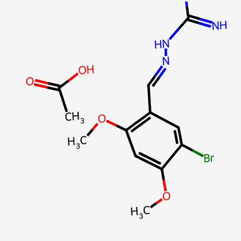 CC(=O)O.COc1cc(OC)c(/C=N/NC(=N)N)cc1Br